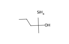 CCCC(C)(C)O.[SiH4]